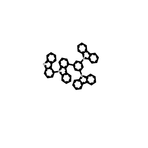 c1ccc2c(c1)oc1cccc(-n3c4ccccc4c4c(-c5cc(-n6c7ccccc7c7ccccc76)cc(-n6c7ccccc7c7ccccc76)c5)cccc43)c12